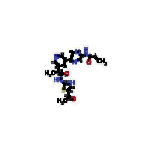 C=CC(=O)Nc1cnc(-c2cncc(C(C)C(=O)NC3NC=C(C(C)=O)S3)c2)cn1